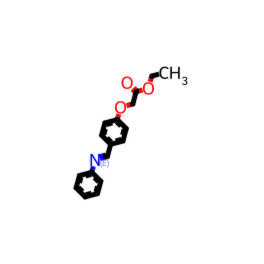 CCOC(=O)COc1ccc(/C=N/c2ccccc2)cc1